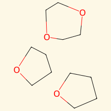 C1CCOC1.C1CCOC1.C1COCCO1